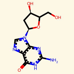 Nc1nc2c(ncn2[C@H]2C[C@@H](O)C(CO)O2)c(=O)[nH]1